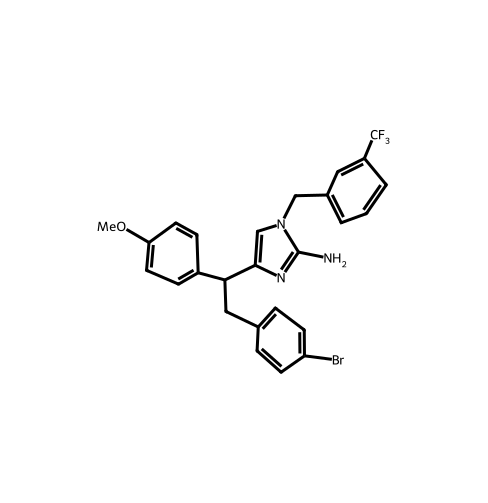 COc1ccc(C(Cc2ccc(Br)cc2)c2cn(Cc3cccc(C(F)(F)F)c3)c(N)n2)cc1